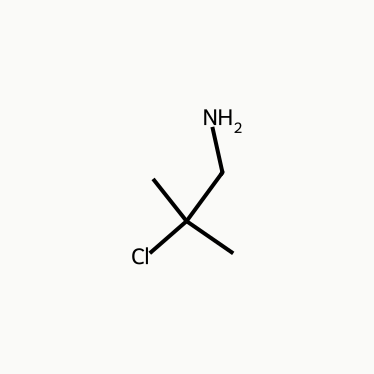 CC(C)(Cl)CN